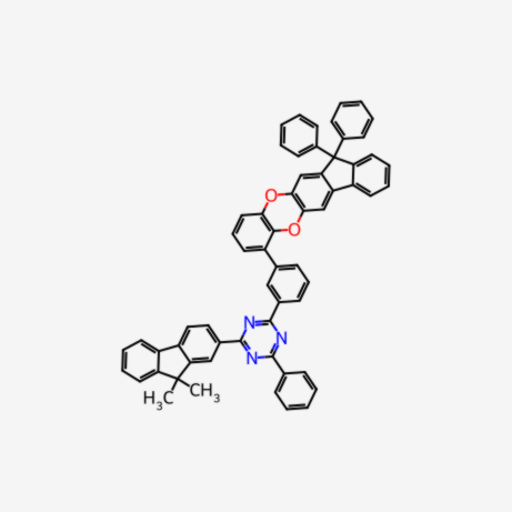 CC1(C)c2ccccc2-c2ccc(-c3nc(-c4ccccc4)nc(-c4cccc(-c5cccc6c5Oc5cc7c(cc5O6)C(c5ccccc5)(c5ccccc5)c5ccccc5-7)c4)n3)cc21